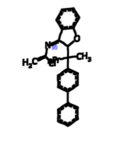 C=C(Cl)/N=C1/c2ccccc2OC1C(C)(CCC)c1ccc(-c2ccccc2)cc1